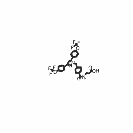 CN(CCC(=O)O)C(=O)C1=CC=C(Cn2nc(-c3ccc(OC(F)(F)F)cc3)cc2-c2ccc(OC(F)(F)F)cc2)CC1